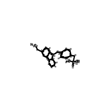 CCc1ccc2c(c1)c1ccccc1n2Cc1ccc(CP(=O)(O)O)cc1